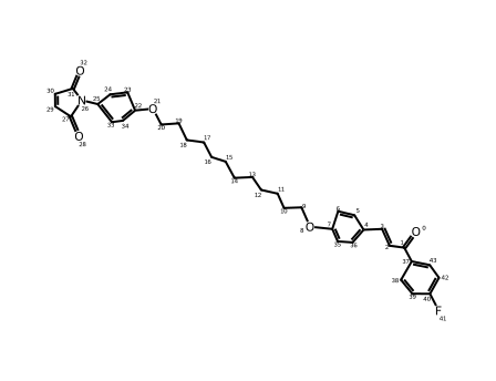 O=C(C=Cc1ccc(OCCCCCCCCCCCCOc2ccc(N3C(=O)C=CC3=O)cc2)cc1)c1ccc(F)cc1